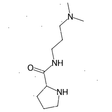 CN(C)CCCNC(=O)C1CCCN1